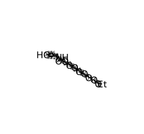 CCOCCOCCOCCOCCOCCOCCOCCOCCC(=O)NCCc1ccc(O)cc1